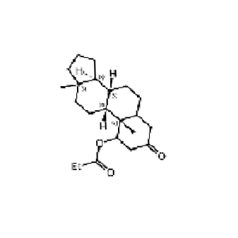 CCC(=O)OC1CC(=O)CC2CC[C@@H]3[C@@H](CC[C@]4(C)CCC[C@@H]34)[C@]21C